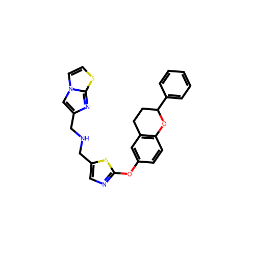 c1ccc(C2CCc3cc(Oc4ncc(CNCc5cn6ccsc6n5)s4)ccc3O2)cc1